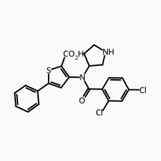 O=C(O)c1sc(-c2ccccc2)cc1N(C(=O)c1ccc(Cl)cc1Cl)C1CCNC1